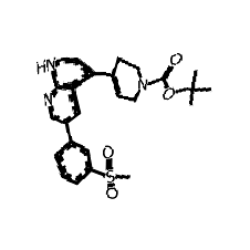 CC(C)(C)OC(=O)N1CC=C(c2c[nH]c3ncc(-c4cccc(S(C)(=O)=O)c4)cc23)CC1